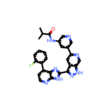 CC(C)C(=O)Nc1cncc(-c2cc3c(-c4nc5c(-c6ccccc6F)ccnc5[nH]4)n[nH]c3cn2)c1